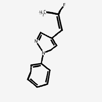 [CH2]/C(F)=C\c1cnn(-c2ccccc2)c1